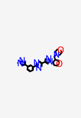 Cn1cc(-c2cccc(-c3ncc(-c4cnn(C5CCOCC5CN5CCOCC5)c4)cn3)c2)cn1